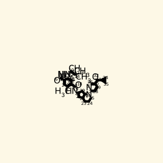 Cc1cc(C(N)=O)c(N[C@H](C)C(C)(C)C)cc1C(=O)NC1CC2CCCN(c3ccc(C(=O)C4CC4)cn3)C2C1